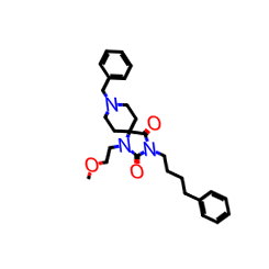 COCCN1C(=O)N(CCCCc2ccccc2)C(=O)C12CCN(Cc1ccccc1)CC2